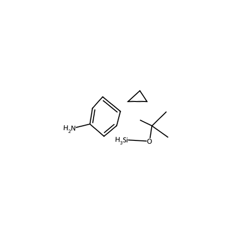 C1CC1.CC(C)(C)O[SiH3].Nc1ccccc1